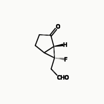 O=CC[C@@]1(F)C2CCC(=O)[C@@H]21